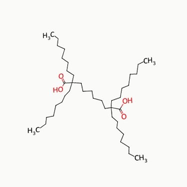 CCCCCCCCC(CCCCCCCC)(CCCCCCC(CCCCCCCC)(CCCCCCCC)C(=O)O)C(=O)O